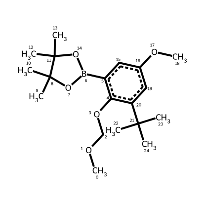 COCOc1c(B2OC(C)(C)C(C)(C)O2)cc(OC)cc1C(C)(C)C